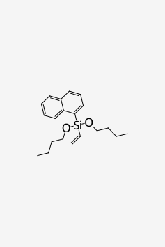 C=C[Si](OCCCC)(OCCCC)c1cccc2ccccc12